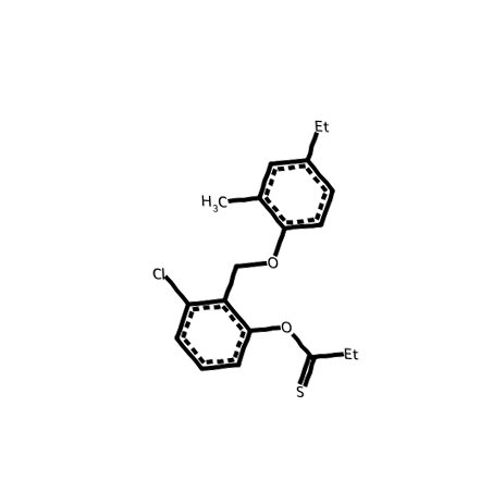 CCC(=S)Oc1cccc(Cl)c1COc1ccc(CC)cc1C